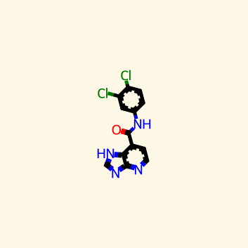 O=C(Nc1ccc(Cl)c(Cl)c1)c1ccnc2nc[nH]c12